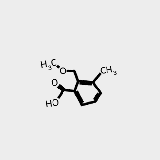 COCc1c(C)cccc1C(=O)O